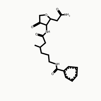 CC(CCCNC(=O)c1ccccc1)CC(=O)NC1C(=O)COC1CC(N)=O